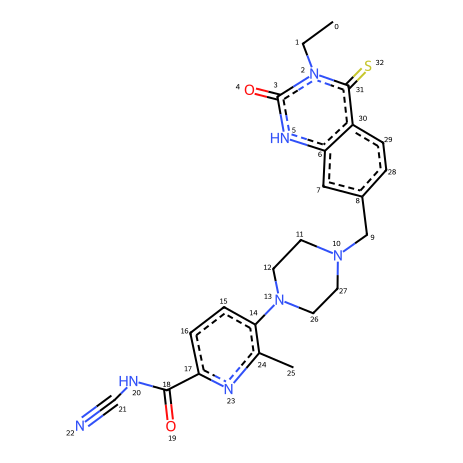 CCn1c(=O)[nH]c2cc(CN3CCN(c4ccc(C(=O)NC#N)nc4C)CC3)ccc2c1=S